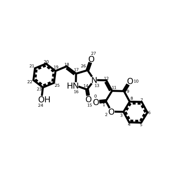 O=C1Oc2ccccc2C(=O)/C1=C/N1C(=O)N/C(=C\c2cccc(O)c2)C1=O